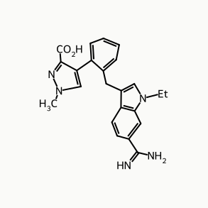 CCn1cc(Cc2ccccc2-c2cn(C)nc2C(=O)O)c2ccc(C(=N)N)cc21